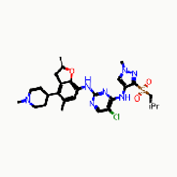 Cc1cc(Nc2ncc(Cl)c(Nc3cn(C)nc3S(=O)(=O)CC(C)C)n2)c2c(c1C1CCN(C)CC1)C[C@@H](C)O2